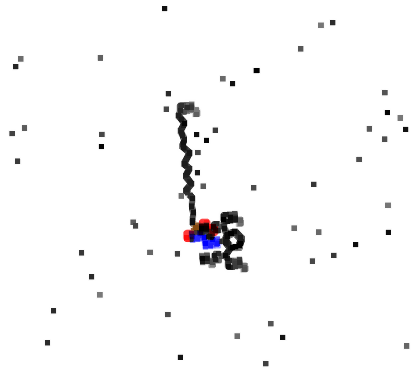 CCCCCCCCCCCCCCCCS(=O)(=O)NC(=O)Nc1c(C(C)C)cccc1C(C)C